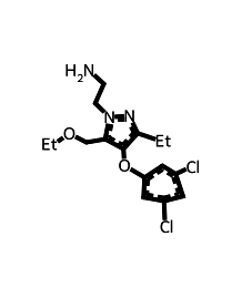 CCOCc1c(Oc2cc(Cl)cc(Cl)c2)c(CC)nn1CCN